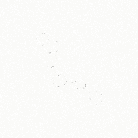 CC(OC(=O)NC(=O)c1cccc(-c2noc(-c3ccccc3F)n2)c1)c1ccccc1